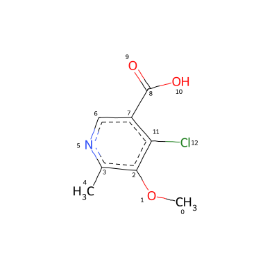 COc1c(C)ncc(C(=O)O)c1Cl